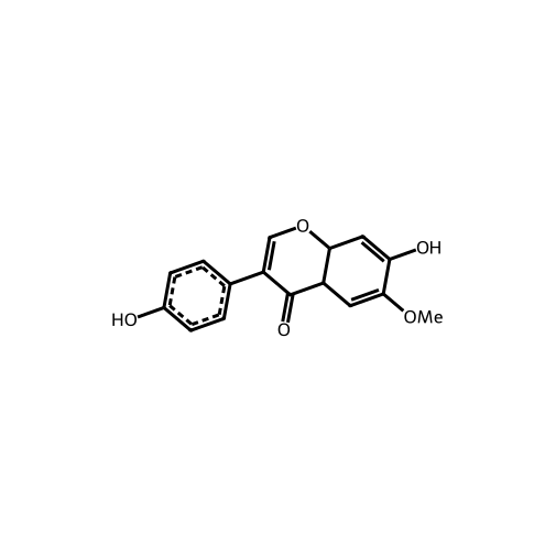 COC1=CC2C(=O)C(c3ccc(O)cc3)=COC2C=C1O